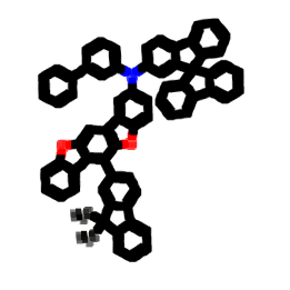 CC1(C)c2ccccc2-c2ccc(-c3c4oc5ccc(N(c6cccc(-c7ccccc7)c6)c6ccc7c(c6)C6(c8ccccc8-c8ccccc86)c6ccccc6-7)cc5c4cc4oc5ccccc5c34)cc21